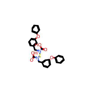 O=C(O)N(Cc1cccc(Oc2ccccc2)c1)SN(Cc1cccc(Oc2ccccc2)c1)C(=O)O